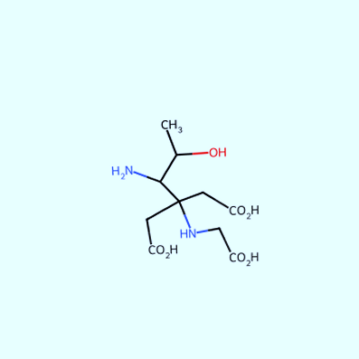 CC(O)C(N)C(CC(=O)O)(CC(=O)O)NCC(=O)O